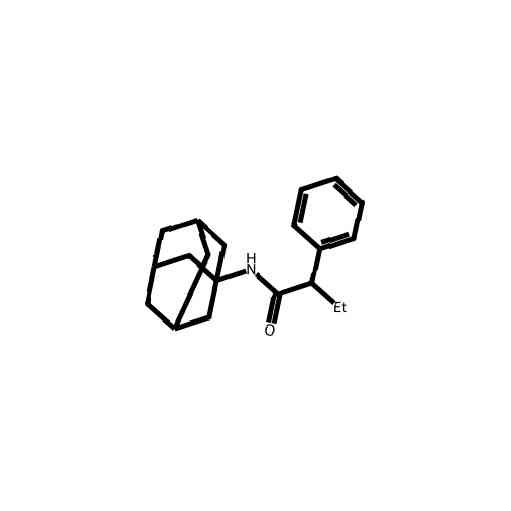 CCC(C(=O)NC12CC3CC(CC(C3)C1)C2)c1ccccc1